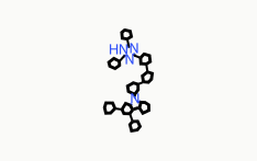 c1ccc(C2=NC(c3cccc(-c4cccc(-c5cccc(-n6c7ccccc7c7c(-c8ccccc8)cc(-c8ccccc8)cc76)c5)c4)c3)=NC(c3ccccc3)N2)cc1